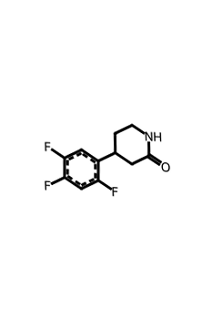 O=C1CC(c2cc(F)c(F)cc2F)CCN1